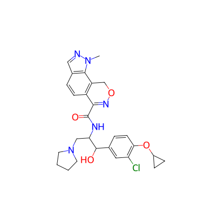 Cn1ncc2ccc3c(c21)CON=C3C(=O)NC(CN1CCCC1)C(O)c1ccc(OC2CC2)c(Cl)c1